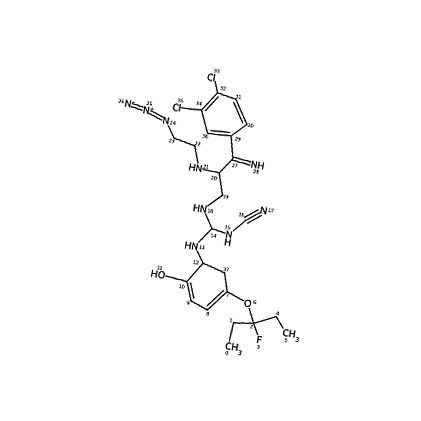 CCC(F)(CC)OC1=CC=C(O)C(NC(NC#N)NCC(NCCN=[N+]=[N-])C(=N)c2ccc(Cl)c(Cl)c2)C1